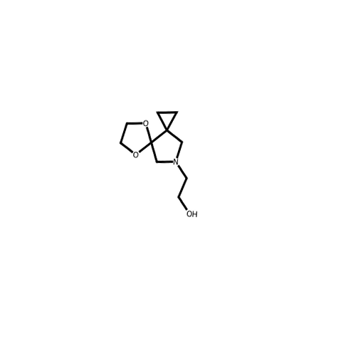 OCCN1CC2(CC2)C2(C1)OCCO2